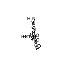 CC(C)(C)C(=O)OCOC(=O)[C@@H]1N2C(=O)[C@@H](N=CN3CCC(COCCN)CC3)[C@H]2SC1(C)C.Cl.Cl